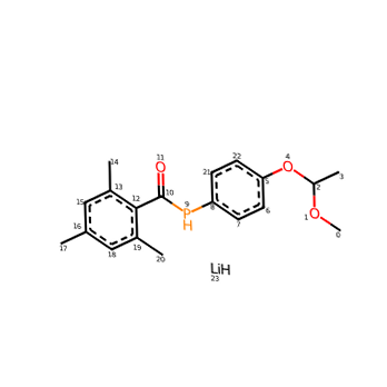 COC(C)Oc1ccc(PC(=O)c2c(C)cc(C)cc2C)cc1.[LiH]